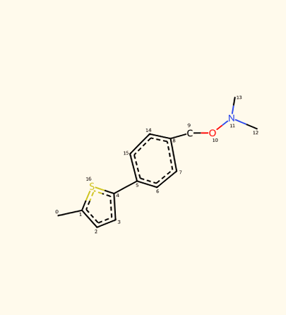 Cc1ccc(-c2ccc(CON(C)C)cc2)s1